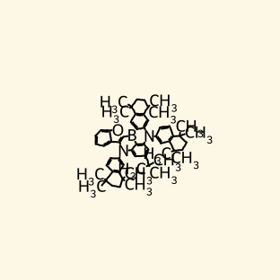 CC(C)(C)c1cc2c3c(c1)N(c1ccc4c(c1)C(C)(C)CCC4(C)C)c1c(oc4ccccc14)B3c1cc3c(cc1N2c1ccc2c(c1)C(C)(C)CCC2(C)C)C(C)(C)CCC3(C)C